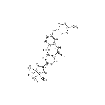 CN1CCN(Cc2ccc3c(c2)NC(=O)c2ccc(B4OC(C)(C)C(C)(C)O4)cc2N3)CC1